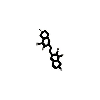 C[C@@H]1CCc2cc(CCc3cc4ccc(I)cc4c(F)c3F)c(F)c(F)c2C1